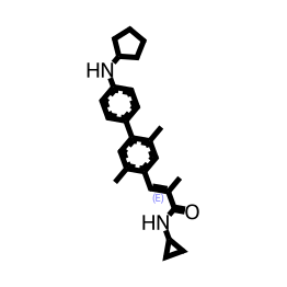 C/C(=C\c1cc(C)c(-c2ccc(NC3CCCC3)cc2)cc1C)C(=O)NC1CC1